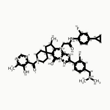 Cc1ncnc(C(=O)N2CCC3(CC2)CC(C)c2c3c(=O)n3nc(-c4ccc(CN(C)C)cc4F)nc3n2CC(=O)Nc2ccc(C3CC3)cc2F)c1O